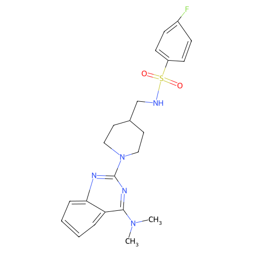 CN(C)c1nc(N2CCC(CNS(=O)(=O)c3ccc(F)cc3)CC2)nc2ccccc12